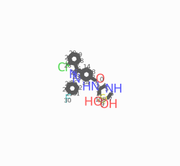 O=C(NC1CNCCS(O)(O)C1)c1ccc2c(-c3ccccc3Cl)nn(-c3ccc(F)cc3)c2c1